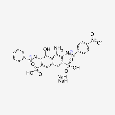 Nc1c(/N=N/c2ccc([N+](=O)[O-])cc2)c(S(=O)(=O)O)cc2cc(S(=O)(=O)O)c(/N=N/c3ccccc3)c(O)c12.[NaH].[NaH]